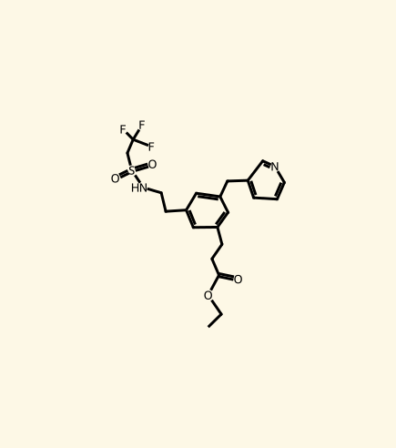 CCOC(=O)CCc1cc(CCNS(=O)(=O)CC(F)(F)F)cc(Cc2cccnc2)c1